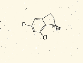 Fc1cc(Cl)c2c(c1)CC[C@H]2Br